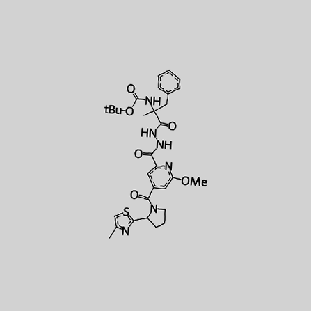 COc1cc(C(=O)N2CCCC2c2nc(C)cs2)cc(C(=O)NNC(=O)C(C)(Cc2ccccc2)NC(=O)OC(C)(C)C)n1